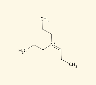 CCC=[N+](CCC)CCC